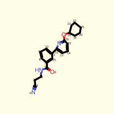 N#CCCNC(=O)c1cccc(-c2cccc(OC3CCCCC3)n2)c1